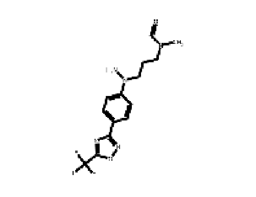 CN(C=O)CCCN(N)c1ccc(-c2noc(C(F)(F)F)n2)cc1